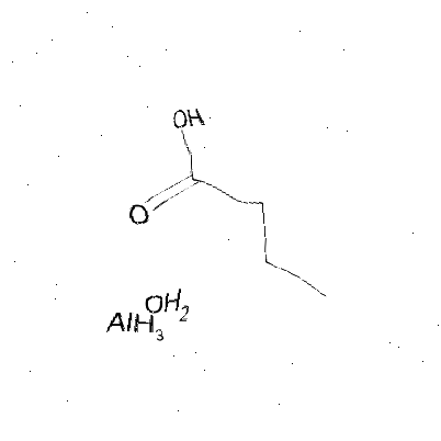 CCCC(=O)O.O.[AlH3]